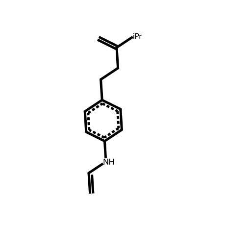 C=CNc1ccc(CCC(=C)C(C)C)cc1